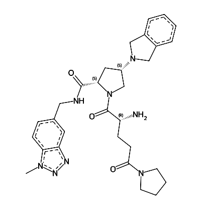 Cn1nnc2cc(CNC(=O)[C@@H]3C[C@H](N4Cc5ccccc5C4)CN3C(=O)[C@H](N)CCC(=O)N3CCCC3)ccc21